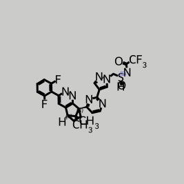 CC1(C)[C@H]2CC[C@@]1(c1ccnc(-c3cnn(C/[SH](=O)=N\C(=O)C(F)(F)F)c3)n1)c1nnc(-c3c(F)cccc3F)cc12